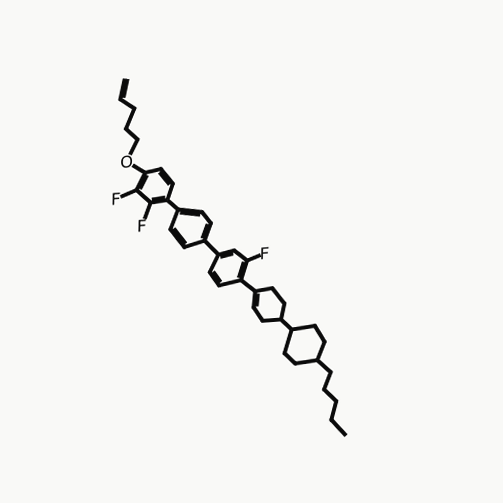 C=CCCCOc1ccc(-c2ccc(-c3ccc(C4=CCC(C5CCC(CCCCC)CC5)CC4)c(F)c3)cc2)c(F)c1F